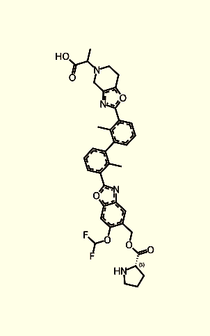 Cc1c(-c2nc3c(o2)CCN(C(C)C(=O)O)C3)cccc1-c1cccc(-c2nc3cc(COC(=O)[C@@H]4CCCN4)c(OC(F)F)cc3o2)c1C